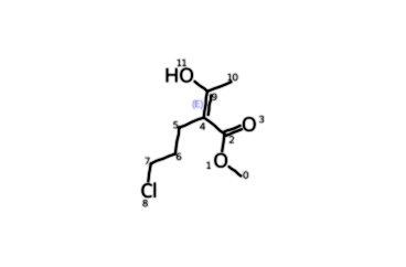 COC(=O)/C(CCCCl)=C(\C)O